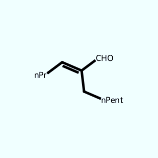 CCCC=C(C=O)CCCCCC